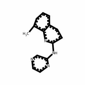 Cc1cccc2ccc(Nc3cnccn3)nc12